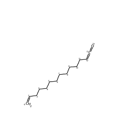 C=CCCCCCCCCCCC=C=O